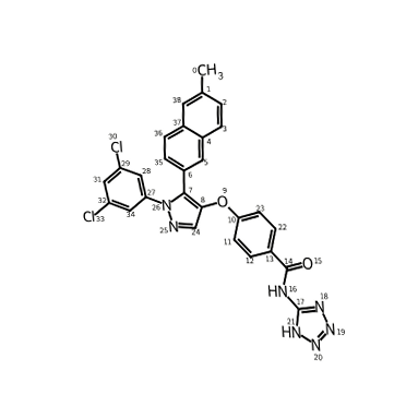 Cc1ccc2cc(-c3c(Oc4ccc(C(=O)Nc5nnn[nH]5)cc4)cnn3-c3cc(Cl)cc(Cl)c3)ccc2c1